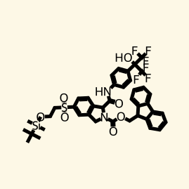 CC(C)(C)[Si](C)(C)OCCS(=O)(=O)c1ccc2c(c1)CN(C(=O)OCC1c3ccccc3-c3ccccc31)C2C(=O)Nc1ccc(C(O)(C(F)(F)F)C(F)(F)F)cc1